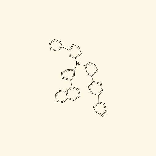 c1ccc(-c2ccc(-c3cccc(N(c4cccc(-c5ccccc5)c4)c4cccc(-c5cccc6ccccc56)c4)c3)cc2)cc1